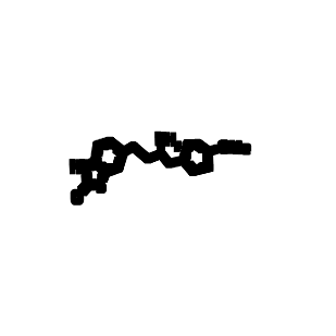 COc1ccc(CC(N)CCc2ccc3[nH]c(=O)sc3c2)cc1